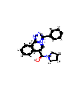 O=C(c1cn2c(-c3ccccc3)nnc2c2ccccc12)N1CCCC1